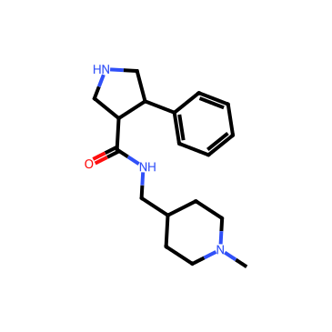 CN1CCC(CNC(=O)C2CNCC2c2ccccc2)CC1